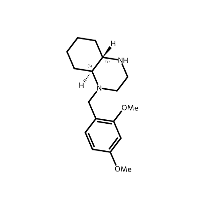 COc1ccc(CN2CCN[C@H]3CCCC[C@@H]32)c(OC)c1